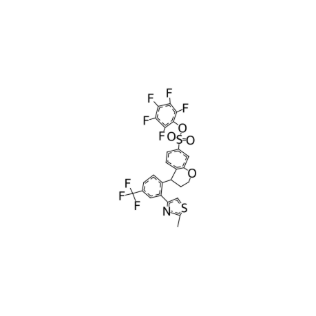 Cc1nc(-c2cc(C(F)(F)F)ccc2C2CCOc3cc(S(=O)(=O)Oc4c(F)c(F)c(F)c(F)c4F)ccc32)cs1